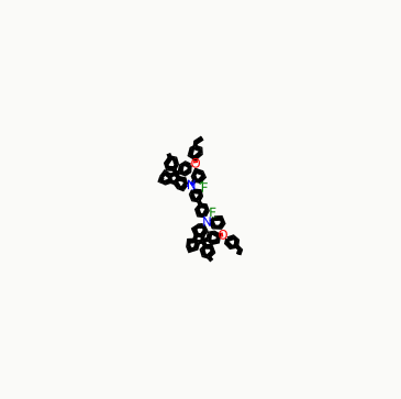 C=Cc1ccc(Oc2ccc(C3(c4ccc(C)cc4)c4ccccc4-c4ccc(N(c5ccc(-c6ccc(N(c7ccc8c(c7)C(c7ccc(C)cc7)(c7ccc(Oc9ccc(C=C)cc9)cc7)c7ccccc7-8)c7ccccc7F)cc6)cc5)c5ccccc5F)cc43)cc2)cc1